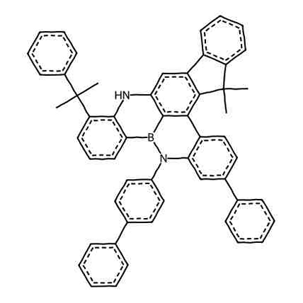 CC(C)(c1ccccc1)c1cccc2c1Nc1cc3c(c4c1B2N(c1ccc(-c2ccccc2)cc1)c1cc(-c2ccccc2)ccc1-4)C(C)(C)c1ccccc1-3